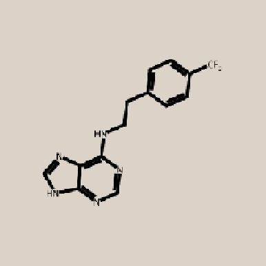 FC(F)(F)c1ccc(CCNc2ncnc3[nH]cnc23)cc1